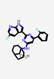 O=C(O)C1C2CCCC1(Nc1cc(-c3ccccc3F)nc(-c3c[nH]c4ncc(F)cc34)n1)CCC2